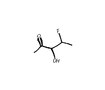 CC(=O)C(O)C(C)F